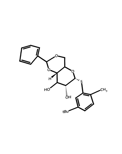 Cc1ccc(C(C)(C)C)cc1S[C@H]1OC2COC(c3ccccc3)O[C@H]2C(O)[C@H]1O